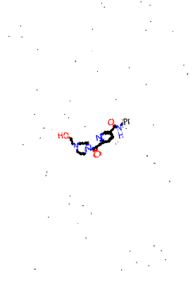 CC(C)NC(=O)c1ccc(C(=O)N2CCN(CCO)CC2)nc1